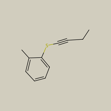 CCC#CSc1ccccc1C